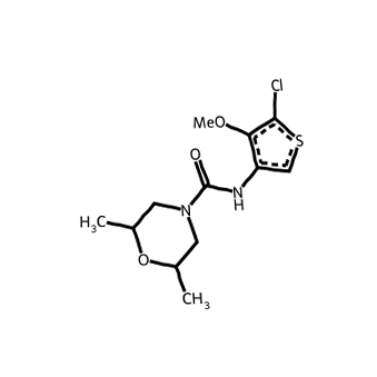 COc1c(NC(=O)N2CC(C)OC(C)C2)csc1Cl